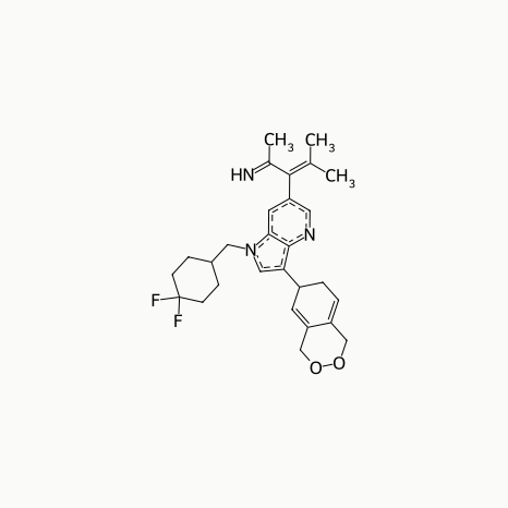 CC(=N)C(=C(C)C)c1cnc2c(C3C=C4COOCC4=CC3)cn(CC3CCC(F)(F)CC3)c2c1